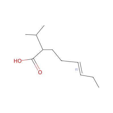 CC/C=C/CCC(C(=O)O)C(C)C